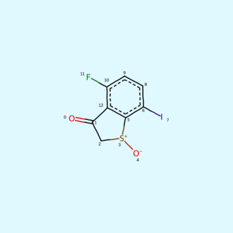 O=C1C[S+]([O-])c2c(I)ccc(F)c21